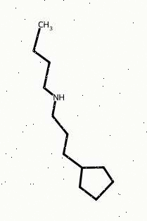 CCCCNCCCC1CCCC1